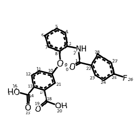 O=C(Nc1ccccc1Oc1ccc(C(=O)O)c(C(=O)O)c1)c1ccc(F)cc1